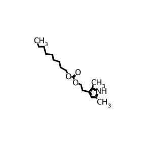 CCCCCCCCCOC(=O)OCCc1cc(C)[nH]c1C